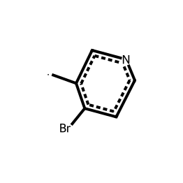 [CH2]c1cnccc1Br